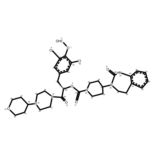 O=COc1c(Cl)cc(C[C@@H](OC(=O)N2CCC(N3CCc4ccccc4NC3=O)CC2)C(=O)N2CCN(C3CCOCC3)CC2)cc1Cl